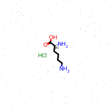 Cl.NCCCC[C@@H](N)C(=O)O